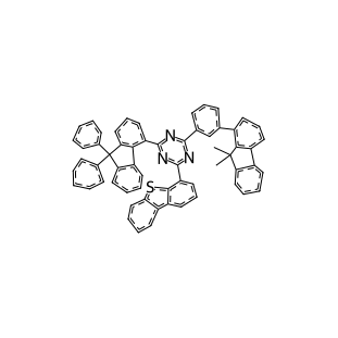 CC1(C)c2ccccc2-c2cccc(-c3cccc(-c4nc(-c5cccc6c5-c5ccccc5C6(c5ccccc5)c5ccccc5)nc(-c5cccc6c5sc5ccccc56)n4)c3)c21